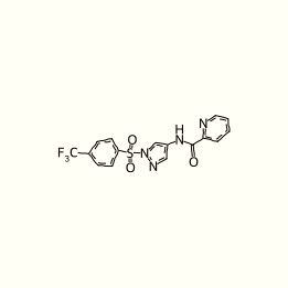 O=C(Nc1cnn(S(=O)(=O)c2ccc(C(F)(F)F)cc2)c1)c1ccccn1